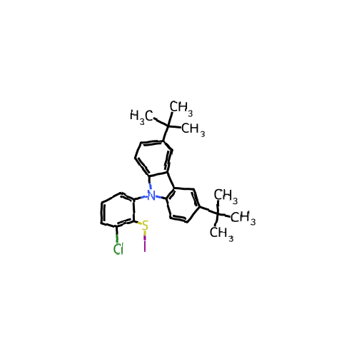 CC(C)(C)c1ccc2c(c1)c1cc(C(C)(C)C)ccc1n2-c1cccc(Cl)c1SI